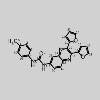 Cc1ccc(NC(=O)Nc2ccc3nc(-c4ccco4)c(-c4ccco4)nc3c2)cc1